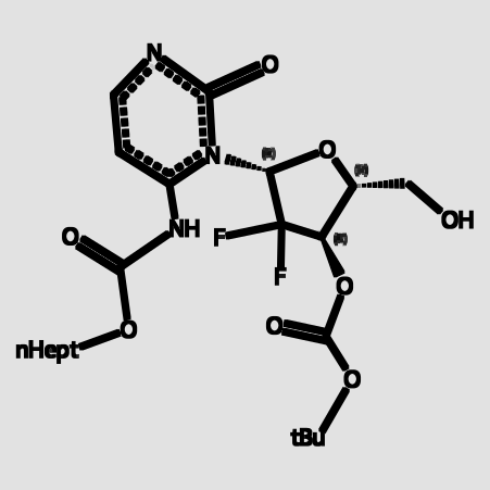 CCCCCCCOC(=O)Nc1ccnc(=O)n1[C@@H]1O[C@H](CO)[C@@H](OC(=O)OC(C)(C)C)C1(F)F